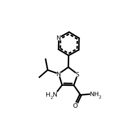 CC(C)N1C(N)=C(C(N)=O)SC1c1cccnc1